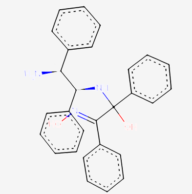 N[C@@H](c1ccccc1)[C@@H](NC(O)(C(=NO)c1ccccc1)c1ccccc1)c1ccccc1